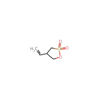 C=CC1COS(=O)(=O)C1